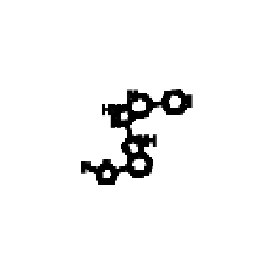 Fc1ccc(-c2cccc3[nH]c(-c4n[nH]c5ncc(-c6ccncc6)cc45)cc23)s1